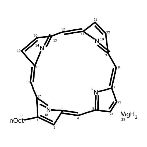 CCCCCCCCC1=CC2=CC3=NC(=CC4=NC(=CC5=NC(=CC1=N2)C=C5)C=C4)C=C3.[MgH2]